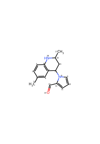 Cc1ccc2c(c1)C(n1cccc1C=O)CC(C)N2